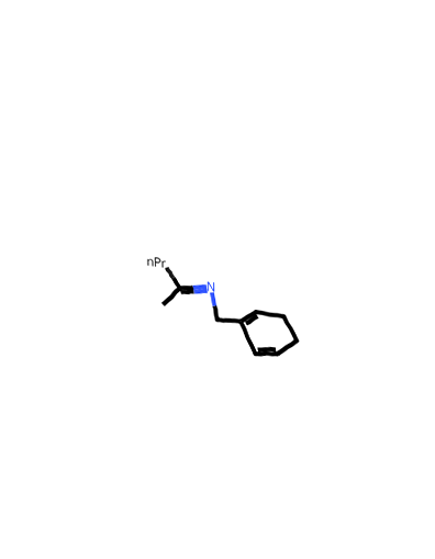 CCC/C(C)=N/CC1=CCCC=C1